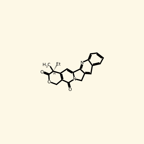 CC[C@@]1(C)C(=O)OCc2c1cc1n(c2=O)Cc2cc3ccccc3nc2-1